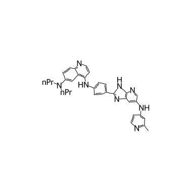 CCCN(CCC)c1ccc2nccc(Nc3ccc(-c4nc5cc(Nc6ccnc(C)c6)cnc5[nH]4)cc3)c2c1